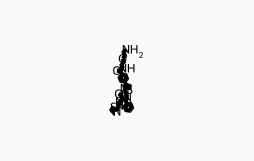 NCCOCCNC(=O)c1ccc(-c2csc(N3N=C(c4ccccc4)/C(=N\Nc4nccs4)C3=O)n2)cc1